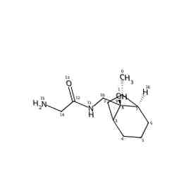 C[C@H]1CC2CCC[C@H]1[C@@]2(O)CNC(=O)CN